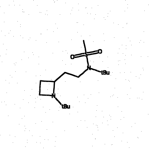 CC(C)(C)N1CCC1CCN(C(C)(C)C)S(C)(=O)=O